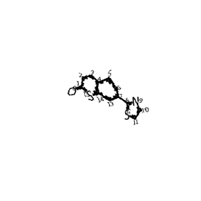 O=c1ccc2ccc(-c3nccs3)cc2s1